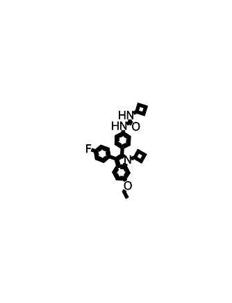 CCOc1ccc2c(-c3ccc(F)cc3)c(-c3ccc(NC(=O)NC4CCC4)cc3)n(C3CCC3)c2c1